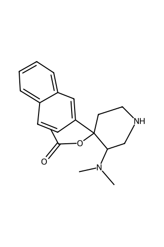 CC(=O)OC1(c2ccc3ccccc3c2)CCNCC1N(C)C